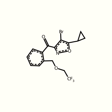 O=C(c1ccccc1COCC(F)(F)F)c1noc(C2CC2)c1Br